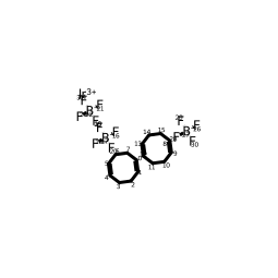 C1=CCCC=CCC1.C1=CCCC=CCC1.F[B-](F)(F)F.F[B-](F)(F)F.F[B-](F)(F)F.[Ir+3]